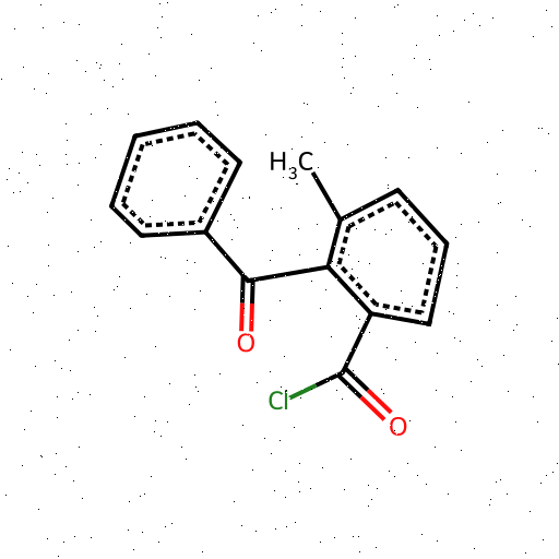 Cc1cccc(C(=O)Cl)c1C(=O)c1ccccc1